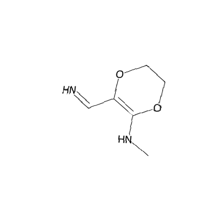 CNC1=C(C=N)OCCO1